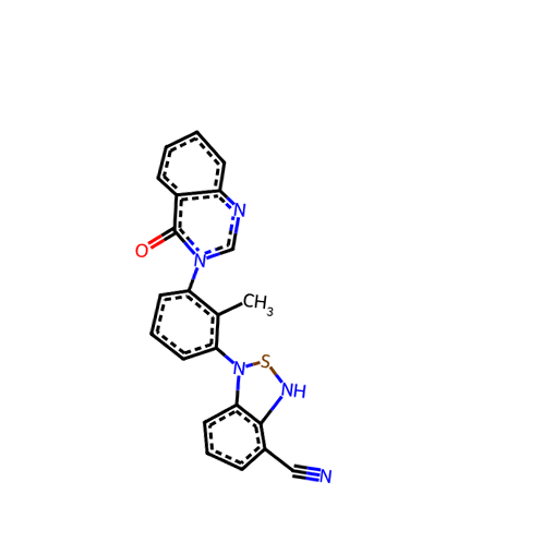 Cc1c(N2SNc3c(C#N)cccc32)cccc1-n1cnc2ccccc2c1=O